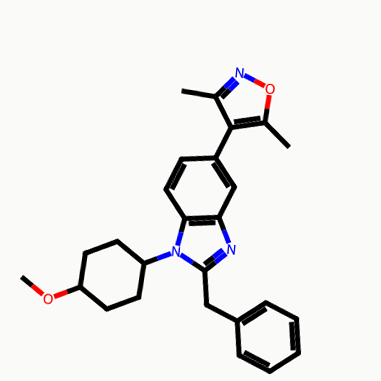 COC1CCC(n2c(Cc3ccccc3)nc3cc(-c4c(C)noc4C)ccc32)CC1